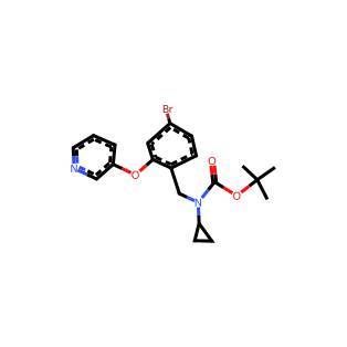 CC(C)(C)OC(=O)N(Cc1ccc(Br)cc1Oc1cccnc1)C1CC1